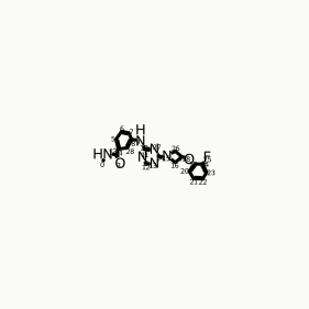 CNC(=O)c1cccc(Nc2ncnc(N3CC(Oc4ccccc4F)C3)n2)c1